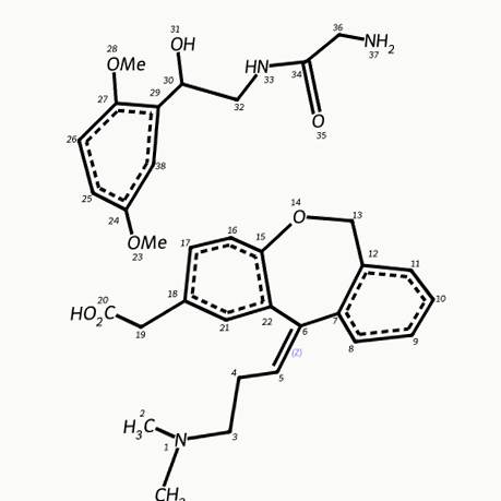 CN(C)CC/C=C1/c2ccccc2COc2ccc(CC(=O)O)cc21.COc1ccc(OC)c(C(O)CNC(=O)CN)c1